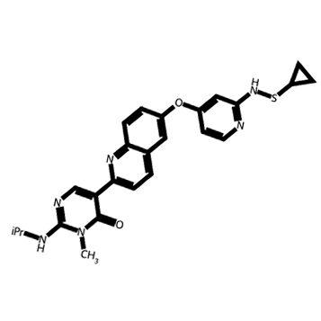 CC(C)Nc1ncc(-c2ccc3cc(Oc4ccnc(NSC5CC5)c4)ccc3n2)c(=O)n1C